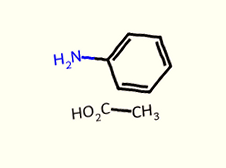 CC(=O)O.Nc1ccccc1